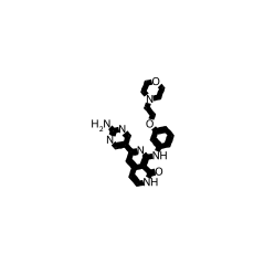 Nc1ncc(-c2cc3cc[nH]c(=O)c3c(Nc3cccc(OCCN4CCOCC4)c3)n2)cn1